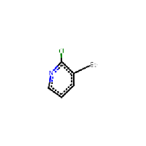 C[CH]c1cccnc1Cl